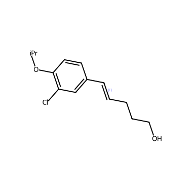 CC(C)Oc1ccc(/C=C/CCCO)cc1Cl